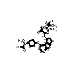 CN(C(=O)O)C1CCC(Oc2ncnc3sc4c(c23)[C@@H](C[C@H](O[Si](C)(C)C(C)(C)C)C(N)=O)CC4)CC1